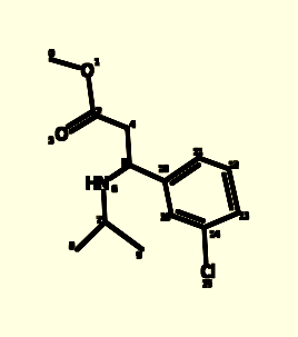 COC(=O)CC(NC(C)C)c1cccc(Cl)c1